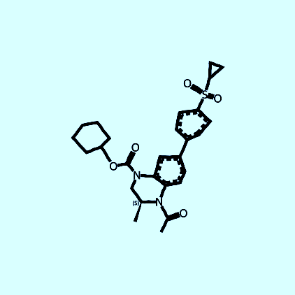 CC(=O)N1c2ccc(-c3ccc(S(=O)(=O)C4CC4)cc3)cc2N(C(=O)OC2CCCCC2)C[C@@H]1C